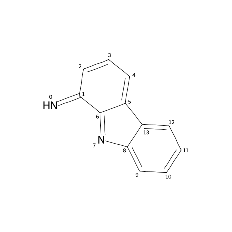 N=C1C=CC=C2C1=Nc1ccccc12